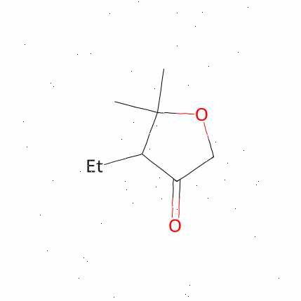 [CH2]CC1C(=O)COC1(C)C